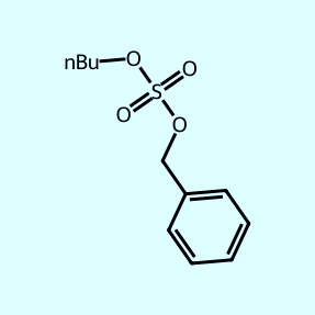 CCCCOS(=O)(=O)OCc1ccccc1